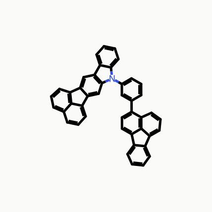 c1cc(-c2ccc3c4c(cccc24)-c2ccccc2-3)cc(-n2c3ccccc3c3cc4c(cc32)-c2cccc3cccc-4c23)c1